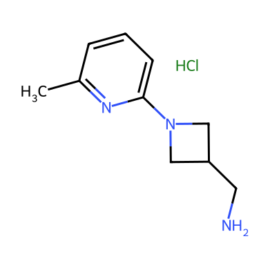 Cc1cccc(N2CC(CN)C2)n1.Cl